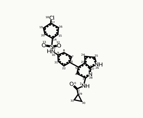 O=C(Nc1cc(-c2ccc(NS(=O)(=O)c3ccc(Cl)cc3)cc2)c2cc[nH]c2n1)C1CC1